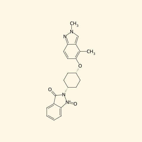 Cc1c(O[C@H]2CC[C@@H](N3C(=O)c4ccccc4[N+]3=O)CC2)ccc2nn(C)cc12